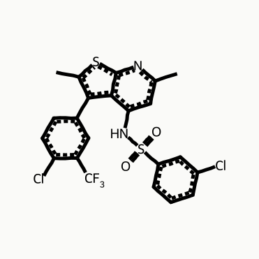 Cc1cc(NS(=O)(=O)c2cccc(Cl)c2)c2c(-c3ccc(Cl)c(C(F)(F)F)c3)c(C)sc2n1